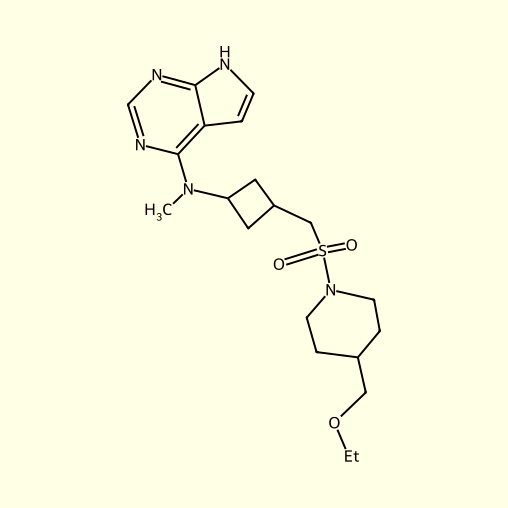 CCOCC1CCN(S(=O)(=O)CC2CC(N(C)c3ncnc4[nH]ccc34)C2)CC1